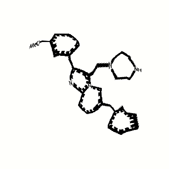 COc1cccc(-c2nc3ccc(-c4ccccc4)cn3c2CN2CCNCC2)c1